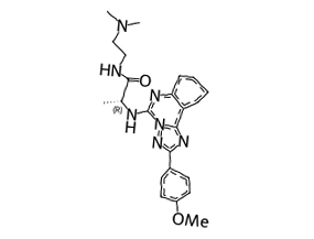 COc1ccc(-c2nc3c4ccccc4nc(N[C@H](C)C(=O)NCCN(C)C)n3n2)cc1